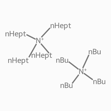 CCCCCCC[N+](CCCCCCC)(CCCCCCC)CCCCCCC.CCCC[N+](CCCC)(CCCC)CCCC